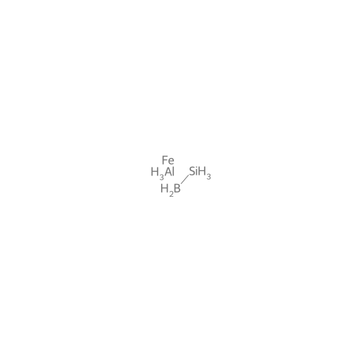 B[SiH3].[AlH3].[Fe]